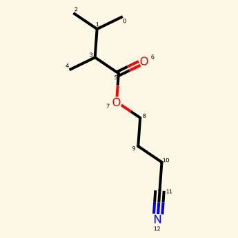 CC(C)C(C)C(=O)OCCCC#N